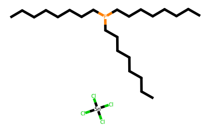 CCCCCCCCP(CCCCCCCC)CCCCCCCC.[Cl][Sn]([Cl])([Cl])[Cl]